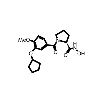 COc1ccc(C(=O)N2CCC[C@H]2C(=O)NO)cc1OC1CCCC1